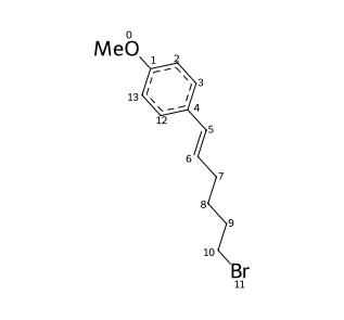 COc1ccc(C=CCCCCBr)cc1